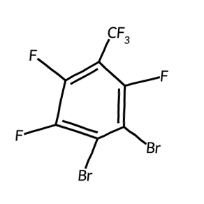 Fc1c(F)c(C(F)(F)F)c(F)c(Br)c1Br